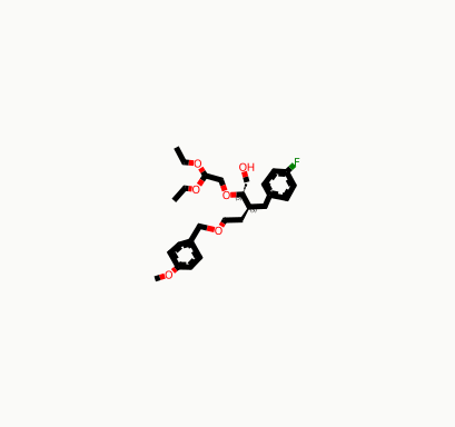 CCOC(CO[C@H](CO)[C@H](CCOCc1ccc(OC)cc1)Cc1ccc(F)cc1)OCC